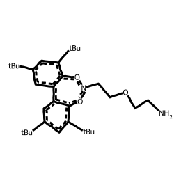 CC(C)(C)c1cc(C(C)(C)C)c2on(CCOCCN)oc3c(C(C)(C)C)cc(C(C)(C)C)cc3c2c1